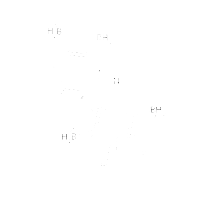 BC1=C(B)C2=Nc3c(B)c(C)c(C)c(B)c3C2C=C1